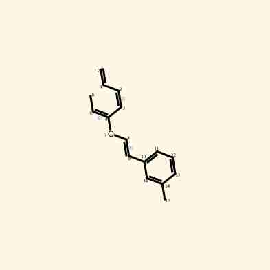 C=C/C=C\C(=C/C)O/C=C/c1cccc(C)c1